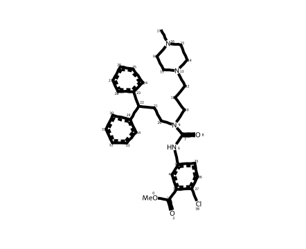 COC(=O)c1cc(NC(=O)N(CCCN2CCN(C)CC2)CCC(c2ccccc2)c2ccccc2)ccc1Cl